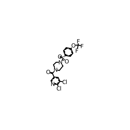 O=C(c1cnc(Cl)c(Cl)c1)N1CCN(S(=O)(=O)c2ccc(OC(F)(F)F)cc2)CC1